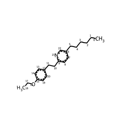 CCCCCCc1ccc(CCc2ccc(OCC)cc2)nc1